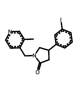 Cc1cnccc1CN1CC(c2cccc(I)c2)CC1=O